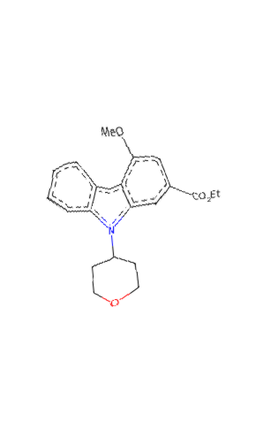 CCOC(=O)c1cc(OC)c2c3ccccc3n(C3CCOCC3)c2c1